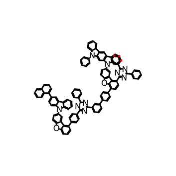 c1ccc(-c2nc(-c3ccc(-c4cccc5oc6ccc(-n7c8ccccc8c8cc(-c9cccc%10ccccc9%10)ccc87)cc6c45)cc3)nc(-c3cccc(-c4ccc(-c5ccc(-c6nc(-c7ccccc7)nc(-c7ccccc7)n6)c6c5oc5ccc(-n7c8ccccc8c8cc9c%10ccccc%10n(-c%10ccccc%10)c9cc87)cc56)cc4)c3)n2)cc1